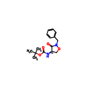 CC(C)(C)OC(=O)N[C@@H]1CON(Cc2ccccc2)C1=O